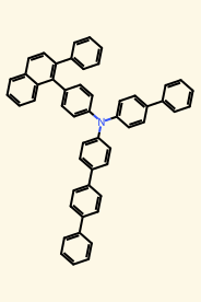 c1ccc(-c2ccc(-c3ccc(N(c4ccc(-c5ccccc5)cc4)c4ccc(-c5c(-c6ccccc6)ccc6ccccc56)cc4)cc3)cc2)cc1